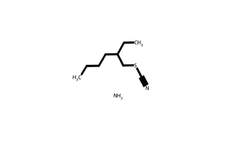 CCCCC(CC)CSC#N.N